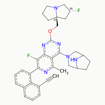 C#Cc1cccc2cccc(-c3nc(C)c4c(N5CC6CCC(C5)N6)nc(OC[C@@]56CCCN5C[C@H](F)C6)nc4c3F)c12